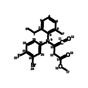 CCc1cccc(C)c1N(C(=C=O)CC(=O)OC)c1ccc(F)c(Br)c1